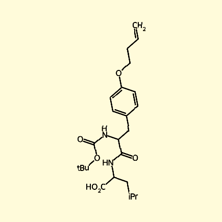 C=CCCOc1ccc(CC(NC(=O)OC(C)(C)C)C(=O)NC(CC(C)C)C(=O)O)cc1